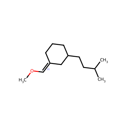 CO/C=C1\CCCC(CCC(C)C)C1